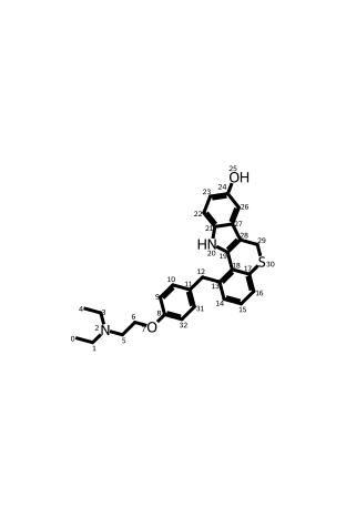 CCN(CC)CCOc1ccc(Cc2cccc3c2-c2[nH]c4ccc(O)cc4c2CS3)cc1